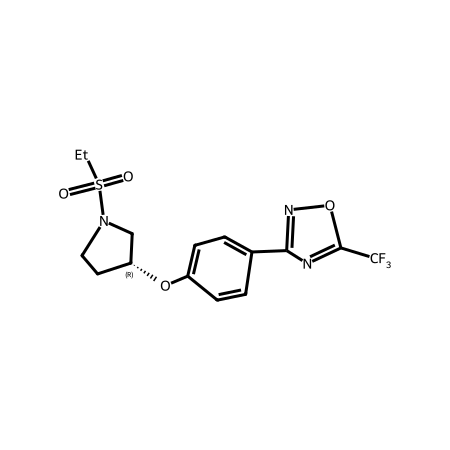 CCS(=O)(=O)N1CC[C@@H](Oc2ccc(-c3noc(C(F)(F)F)n3)cc2)C1